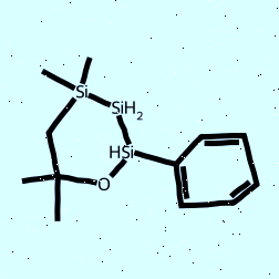 CC1(C)C[Si](C)(C)[SiH2][SiH](c2ccccc2)O1